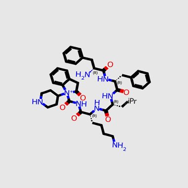 CC(C)C[C@@H](NC(=O)[C@@H](Cc1ccccc1)NC(=O)[C@H](N)Cc1ccccc1)C(=O)N[C@H](CCCCN)C(=O)NC(=O)[N+]1(C2CCNCC2)C(=O)Cc2ccccc21